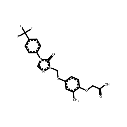 Cc1cc(SCn2ncn(-c3ccc(C(F)(F)F)cc3)c2=O)ccc1OCC(=O)O